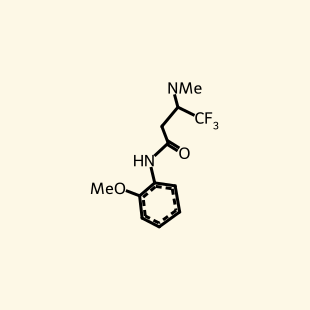 CNC(CC(=O)Nc1ccccc1OC)C(F)(F)F